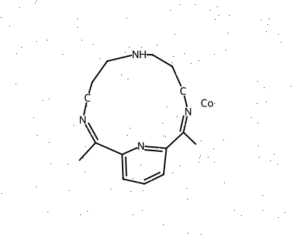 CC1=NCCCNCCCN=C(C)c2cccc1n2.[Co]